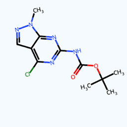 Cn1ncc2c(Cl)nc(NC(=O)OC(C)(C)C)nc21